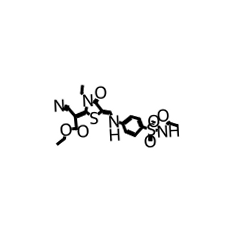 CCOC(=O)C(C#N)=c1sc(=CNc2ccc(S(=O)(=O)NC(C)=O)cc2)c(=O)n1CC